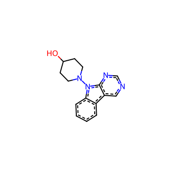 OC1CCN(n2c3ccccc3c3cncnc32)CC1